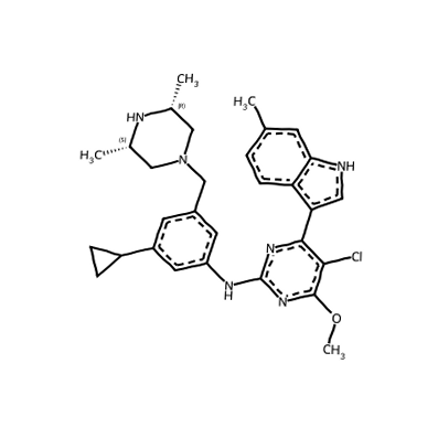 COc1nc(Nc2cc(CN3C[C@@H](C)N[C@@H](C)C3)cc(C3CC3)c2)nc(-c2c[nH]c3cc(C)ccc23)c1Cl